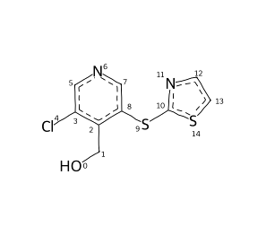 OCc1c(Cl)cncc1Sc1nccs1